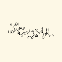 CCNC(=O)Nc1nc2cc(-c3cnc(C(O)C(C)O)nc3)ccc2s1